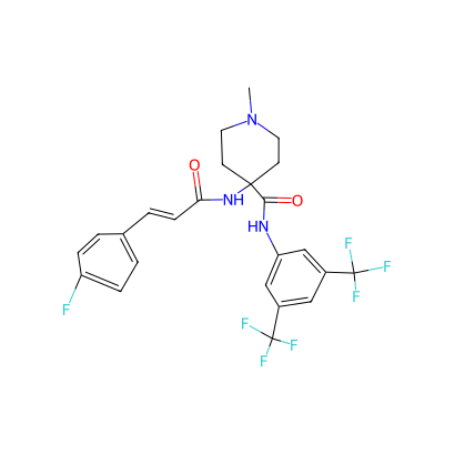 CN1CCC(NC(=O)/C=C/c2ccc(F)cc2)(C(=O)Nc2cc(C(F)(F)F)cc(C(F)(F)F)c2)CC1